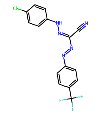 N#CC(N=Nc1ccc(C(F)(F)F)cc1)=NNc1ccc(Cl)cc1